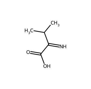 CC(C)C(=N)C(=O)O